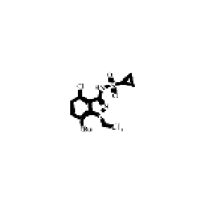 CC(C)(C)c1ccc(Cl)c2c(NS(=O)(=O)C3CC3)nn(CC(F)(F)F)c12